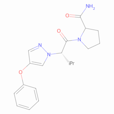 CC(C)[C@@H](C(=O)N1CCCC1C(N)=O)n1cc(Oc2ccccc2)cn1